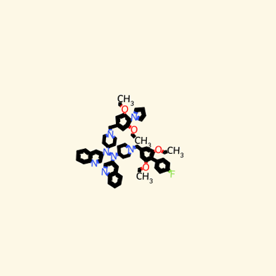 CCOc1cc(CN2CCC(N(c3cnc4ccccc4c3)N(c3cnc4ccccc4c3)C3CCN(Cc4cc(OCC)c(-n5cccc5)c(OCC)c4)CC3)CC2)cc(OCC)c1-c1ccc(F)cc1